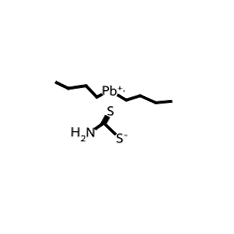 CCC[CH2][Pb+][CH2]CCC.NC(=S)[S-]